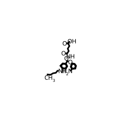 CCCCCCNc1ccc(C(=O)ONC(=O)CCCC(=O)O)cc1.Nc1ccccc1